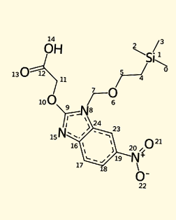 C[Si](C)(C)CCOCn1c(OCC(=O)O)nc2ccc([N+](=O)[O-])cc21